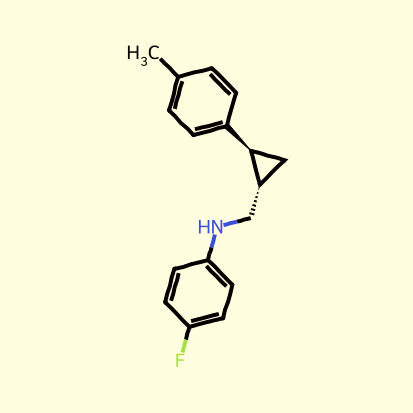 Cc1ccc([C@H]2C[C@@H]2CNc2ccc(F)cc2)cc1